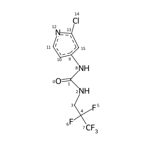 O=C(NCC(F)(F)C(F)(F)F)Nc1ccnc(Cl)c1